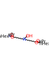 CCCCCCC(=CC(=O)OCCCCCCCCCCN(CCCO)CCCCCCCCCCOC(=O)/C=C(\CCC)CCCCCC)CCC